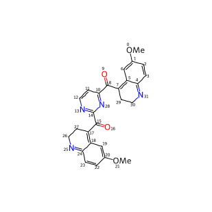 COc1ccc2c(c1)=C(C(=O)c1ccnc(C(=O)C3=c4cc(OC)ccc4=NCC3)n1)CCN=2